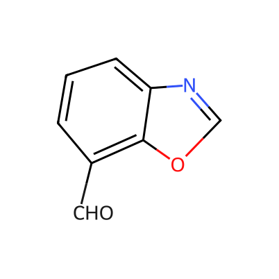 O=Cc1cccc2ncoc12